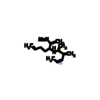 C=CCCC(NC(=C)C(=C)/C=C\C)C(=C)NC